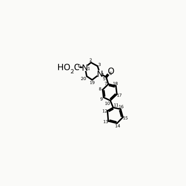 O=C(O)N1CCN(C(=O)c2ccc(-c3ccccc3)cc2)CC1